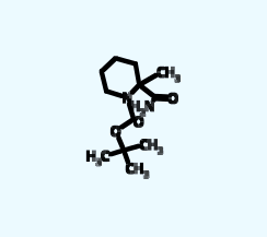 CC(C)(C)OC(=O)N1CCCCC1(C)C(N)=O